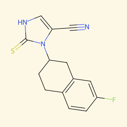 N#Cc1c[nH]c(=S)n1C1CCc2ccc(F)cc2C1